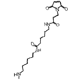 CNCCCCCCNC(=O)CCCCCNC(=O)CCN1C(=O)C=CC1=O